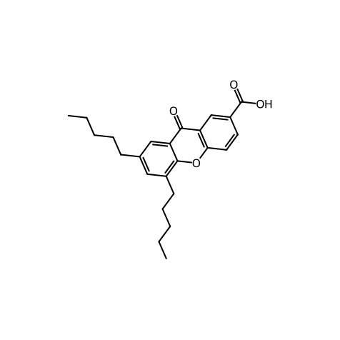 CCCCCc1cc(CCCCC)c2oc3ccc(C(=O)O)cc3c(=O)c2c1